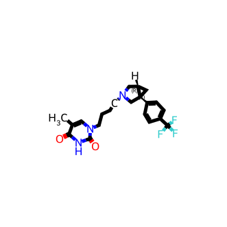 Cc1cn(CCCCN2C[C@@H]3C[C@]3(c3ccc(C(F)(F)F)cc3)C2)c(=O)[nH]c1=O